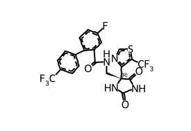 O=C1NC(=O)[C@@](CNC(=O)c2cc(F)ccc2-c2ccc(C(F)(F)F)cc2)(c2ncsc2C(F)(F)F)N1